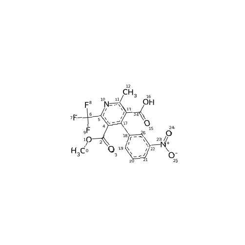 COC(=O)c1c(C(F)(F)F)nc(C)c(C(=O)O)c1-c1cccc([N+](=O)[O-])c1